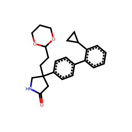 O=C1CC(CCC2OCCCO2)(c2ccc(-c3ccccc3C3CC3)cc2)CN1